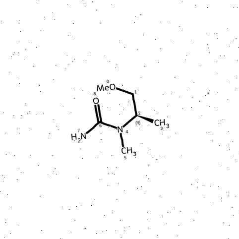 COC[C@@H](C)N(C)C(N)=O